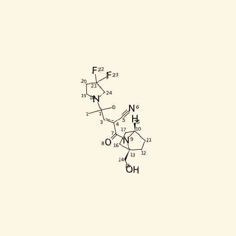 CC(C)(C=C(C#N)C(=O)N1[C@H]2CC[C@]1(CO)CC2)N1CCC(F)(F)C1